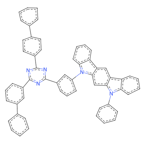 c1ccc(-c2ccc(-c3nc(-c4cccc(-c5ccccc5)c4)nc(-c4cccc(-n5c6ccccc6c6cc7c8ccccc8n(-c8ccccc8)c7cc65)c4)n3)cc2)cc1